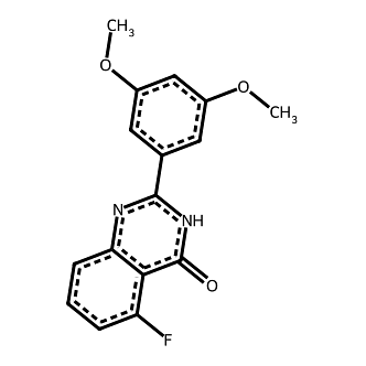 COc1cc(OC)cc(-c2nc3cccc(F)c3c(=O)[nH]2)c1